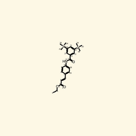 CCOC(=O)C=Cc1ccc(NC(=O)c2cc([Si](C)(C)C)cc([Si](C)(C)C)c2)cc1